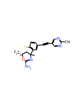 CC1(c2cc(C#Cc3cnc(C#N)nc3)ccc2F)C[C@@H](C(F)(F)F)OC(N)=N1